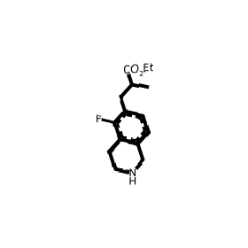 CCOC(=O)C(C)Cc1ccc2c(c1F)CCNC2